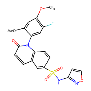 COc1cc(OC(F)(F)F)c(F)cc1-n1c(=O)ccc2cc(S(=O)(=O)Nc3ccon3)ccc21